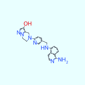 Nc1nccc2c(NCc3ccc(N4CCn5ncc(O)c5C4)nc3)cccc12